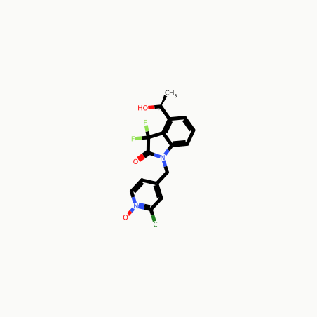 C[C@H](O)c1cccc2c1C(F)(F)C(=O)N2Cc1cc[n+]([O-])c(Cl)c1